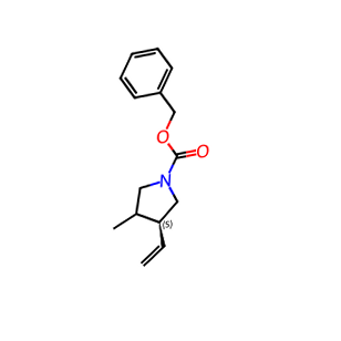 C=C[C@@H]1CN(C(=O)OCc2ccccc2)CC1C